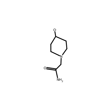 NC(=O)CN1CCC([O])CC1